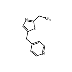 FC(F)(F)Cc1ncc(Cc2ccncc2)s1